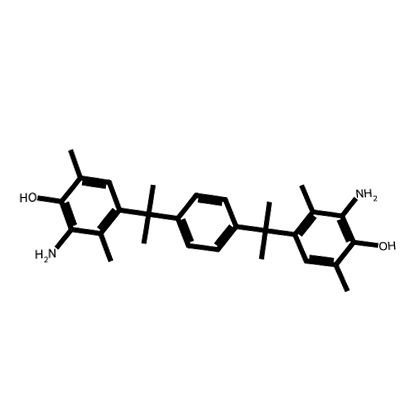 Cc1cc(C(C)(C)c2ccc(C(C)(C)c3cc(C)c(O)c(N)c3C)cc2)c(C)c(N)c1O